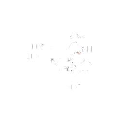 CCCc1cccc(CC)c1-n1nc2c(c1-c1ccc3[nH]ccc3c1)CN(C(CC)CC)CC2